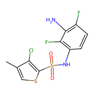 Cc1csc(S(=O)(=O)Nc2ccc(F)c(N)c2F)c1Cl